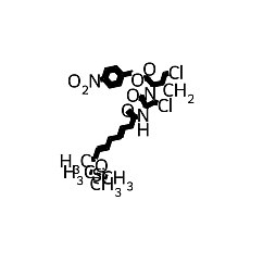 C=C(CCl)C(C(=O)OCc1ccc([N+](=O)[O-])cc1)N1C(=O)C(NC(=O)CC=CCC=CC(C)O[Si](C)(C)C)C1Cl